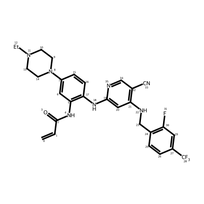 C=CC(=O)Nc1cc(N2CCN(CC)CC2)ccc1Nc1cc(NCc2ccc(C(F)(F)F)cc2F)c(C#N)cn1